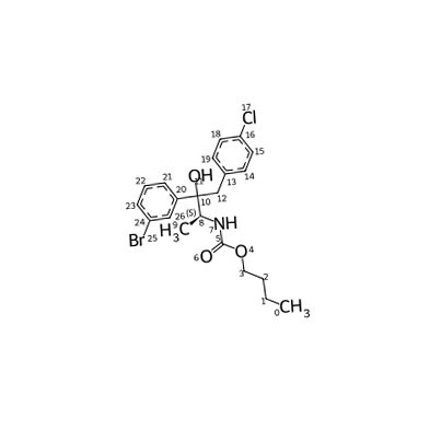 CCCCOC(=O)N[C@@H](C)C(O)(Cc1ccc(Cl)cc1)c1cccc(Br)c1